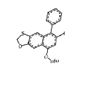 CCCCOc1cc(I)c(-c2ccccc2)c2cc3c(cc12)OCS3